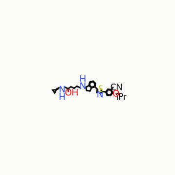 CC(C)Oc1ccc(-c2ncc(-c3cccc4c3CCC4NCCCCC(O)CNC=C3CC3)s2)cc1C#N